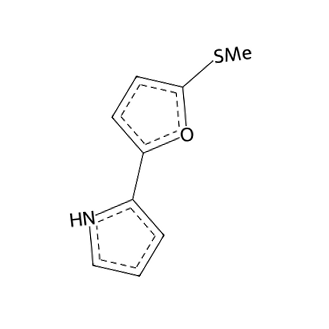 CSc1ccc(-c2ccc[nH]2)o1